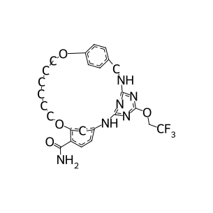 NC(=O)c1ccc2cc1OCCCCCCOc1ccc(cc1)CNc1nc(nc(OCC(F)(F)F)n1)N2